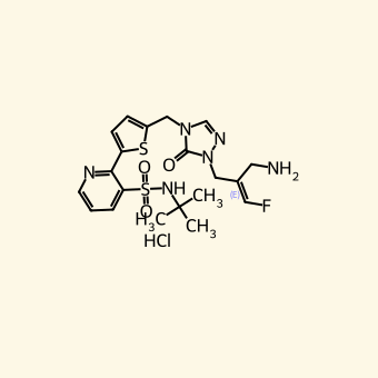 CC(C)(C)NS(=O)(=O)c1cccnc1-c1ccc(Cn2cnn(C/C(=C/F)CN)c2=O)s1.Cl